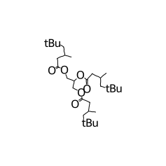 CC(CC(=O)OCC(COC(=O)CC(C)CC(C)(C)C)OC(=O)CC(C)CC(C)(C)C)CC(C)(C)C